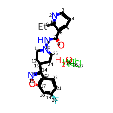 CCc1ncccc1C(=O)NN1CCC(c2noc3cc(F)ccc23)CC1.Cl.Cl.O